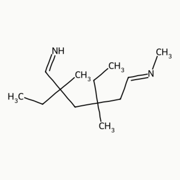 CCC(C)(C=N)CC(C)(CC)C/C=N/C